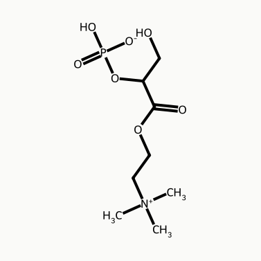 C[N+](C)(C)CCOC(=O)C(CO)OP(=O)([O-])O